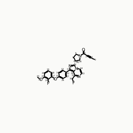 CC#CC(=O)N1CC[C@@H](c2nc(-c3ccc(Oc4cccc(OC)c4F)cc3)c3c(CF)nccn23)C1